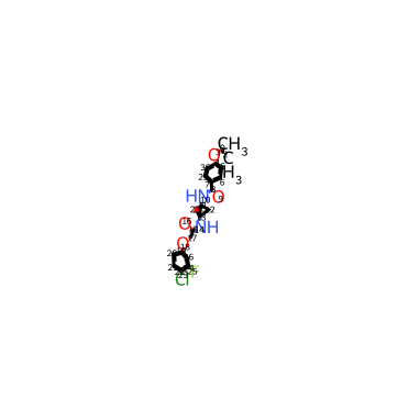 CC(C)Oc1ccc(C(=O)NC23CC(NC(=O)COc4ccc(Cl)c(F)c4)(C2)C3)cc1